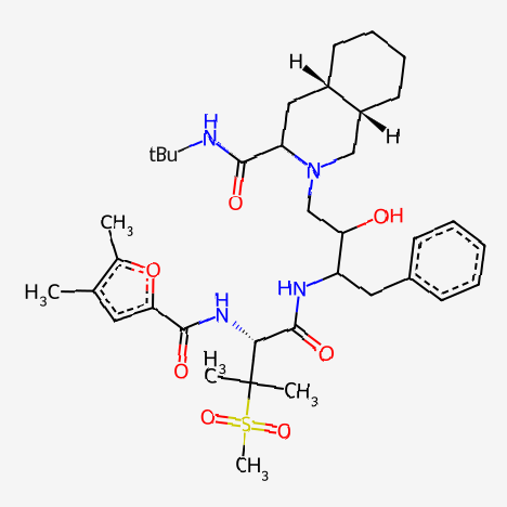 Cc1cc(C(=O)N[C@H](C(=O)NC(Cc2ccccc2)C(O)CN2C[C@H]3CCCC[C@H]3CC2C(=O)NC(C)(C)C)C(C)(C)S(C)(=O)=O)oc1C